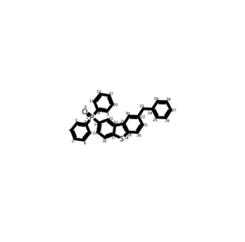 O=P(c1ccccc1)(c1ccccc1)c1ccc2sc3ccc(Cc4ccccc4)cc3c2c1